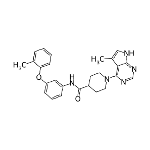 Cc1ccccc1Oc1cccc(NC(=O)C2CCN(c3ncnc4[nH]cc(C)c34)CC2)c1